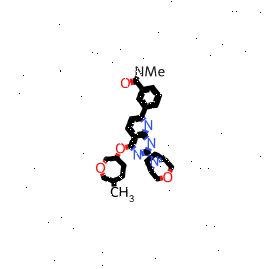 CNC(=O)c1cccc(-c2ccc3c(OC4CCC(C)COC4)nc(N4C5CCC4COC5)nc3n2)c1